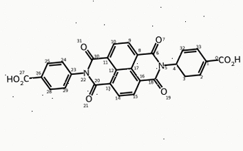 O=C(O)C1=CCC(N2C(=O)c3ccc4c5c(ccc(c35)C2=O)C(=O)N(c2ccc(C(=O)O)cc2)C4=O)C=C1